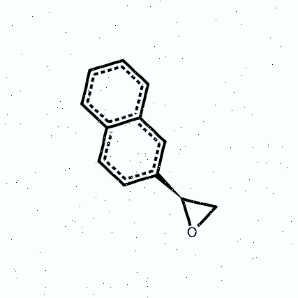 c1ccc2cc([C@H]3CO3)ccc2c1